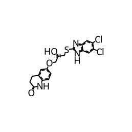 O=C1CCc2cc(OC[C@@H](O)CSc3nc4cc(Cl)c(Cl)cc4[nH]3)ccc2N1